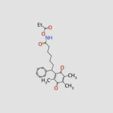 CCC(=O)ONC(=O)CCCCCC(C1=C(C)C(=O)C(C)=C(C)C1=O)c1ccccc1